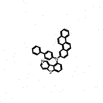 c1ccc(-c2ccc(N(c3ccc4ccc5c6ccccc6ccc5c4c3)c3cccc4sc5ccncc5c34)cc2)cc1